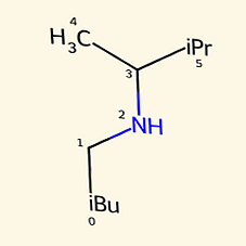 CCC(C)CNC(C)C(C)C